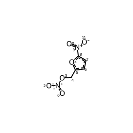 O=[N+]([O-])OCc1ccc([N+](=O)[O-])o1